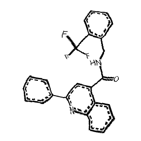 O=C(NCc1ccccc1C(F)(F)F)c1cc(-c2ccccc2)nc2ccccc12